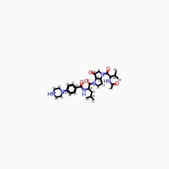 CC(=O)NC(C(=O)N1CC(=O)C2C1CCN2C(=O)C(CC(C)C)NC(=O)c1ccc(N2CCNCC2)cc1)C(C)C